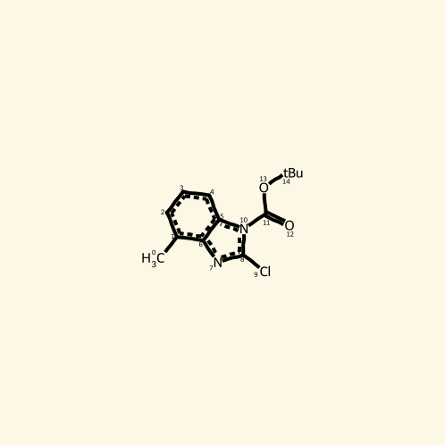 Cc1cccc2c1nc(Cl)n2C(=O)OC(C)(C)C